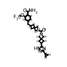 NC(=O)c1ccc(CC2CC3(C2)CN(C(=O)N2CC4(CC(c5nc(C6CC6)n[nH]5)C4)C2)C3)cc1OC(F)(F)F